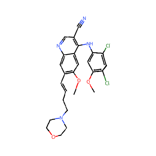 COc1cc(Nc2c(C#N)cnc3cc(/C=C/CCN4CCOCC4)c(OC)cc23)c(Cl)cc1Cl